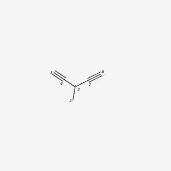 C#C[C](C)C#C